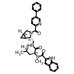 CC(C)C[C@@H](C(=O)NC[C@@H]1C2C[C@H]2CN1C(=O)c1ccc(-c2ccccc2)cn1)N(C)C(=O)c1cc2ccccc2[nH]1